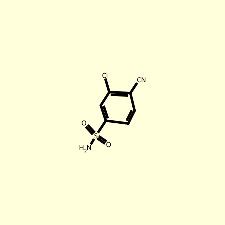 N#Cc1ccc(S(N)(=O)=O)cc1Cl